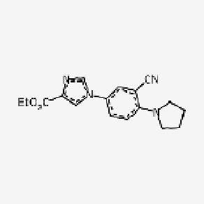 CCOC(=O)c1cn(-c2ccc(N3CCCC3)c(C#N)c2)cn1